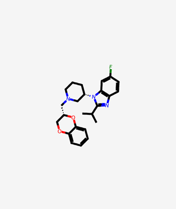 CC(C)c1nc2ccc(F)cc2n1[C@H]1CCCN(C[C@H]2COc3ccccc3O2)C1